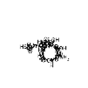 CC[C@H](C)[C@@H]1NC(=O)CNC(=O)[C@H](Cc2c([S+](C)[O-])[nH]c3cc(OCC(C)CC(C)(C)N4C(=O)CC(S)C4=O)ccc23)NC(=O)[C@H]([C@@H](C)[C@@H](O)CO)NC(=O)[C@@H]2C[C@@H](O)CN2C(=O)[C@H](CC(N)=O)NC(=O)[C@@H]2C=C(CNC1=O)N2